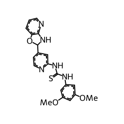 COc1cc(NC(=S)Nc2cc(C3Nc4ncccc4O3)ccn2)cc(OC)c1